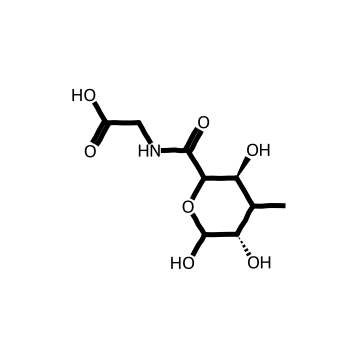 CC1[C@H](O)C(O)OC(C(=O)NCC(=O)O)[C@H]1O